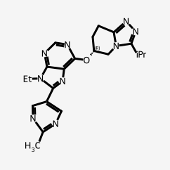 CCn1c(-c2cnc(C)nc2)nc2c(O[C@@H]3CCc4nnc(C(C)C)n4C3)ncnc21